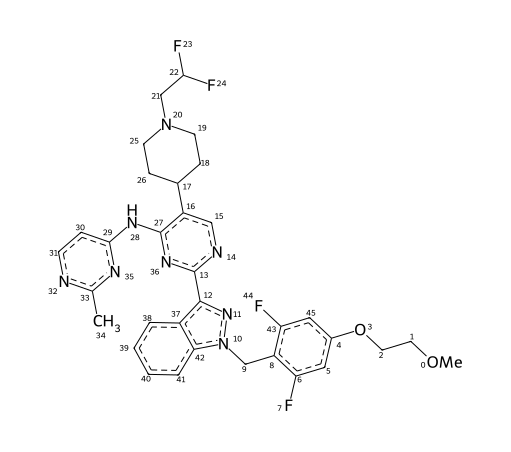 COCCOc1cc(F)c(Cn2nc(-c3ncc(C4CCN(CC(F)F)CC4)c(Nc4ccnc(C)n4)n3)c3ccccc32)c(F)c1